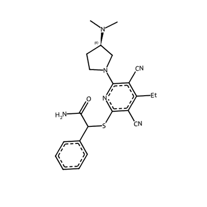 CCc1c(C#N)c(SC(C(N)=O)c2ccccc2)nc(N2CC[C@@H](N(C)C)C2)c1C#N